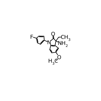 CCC1(N)C(=O)N(c2ccc(F)cc2)c2ccc(OC)cc21